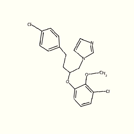 COc1c(Cl)cccc1OC(CCc1ccc(Cl)cc1)Cn1ccnc1